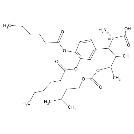 CCCCCC(=O)Oc1ccc(C(C(C)C(C)OC(=O)OCCC(C)C)[C@H](N)C(=O)O)cc1OC(=O)CCCCC